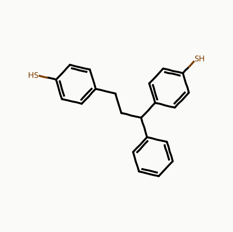 Sc1ccc(CCC(c2ccccc2)c2ccc(S)cc2)cc1